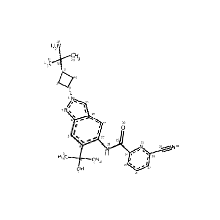 CC(C)(O)c1cc2nn([C@H]3C[C@H](C(C)(C)N)C3)cc2cc1NC(=O)c1cccc(C#N)n1